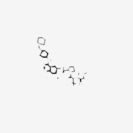 CN[C@@H](C)C(=O)N[C@H](C(=O)N1CCCC1C(=O)Nc1cc2c(Nc3ccc(CN4CCCCC4)cc3)ncnc2cc1OC)C(C)(C)C.Cl